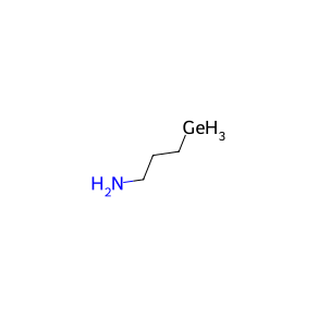 NCC[CH2][GeH3]